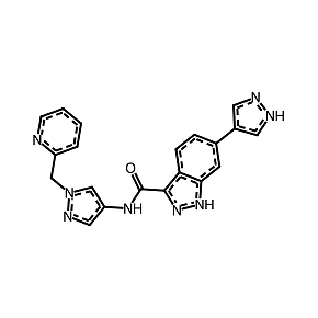 O=C(Nc1cnn(Cc2ccccn2)c1)c1n[nH]c2cc(-c3cn[nH]c3)ccc12